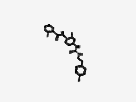 Cc1cc(NC(=S)NCCc2ccc(F)cc2)ccc1NC(=O)c1ccccc1F